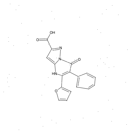 O=C(O)c1cc2[nH]c(-c3ccco3)c(-c3ccccc3)c(=O)n2n1